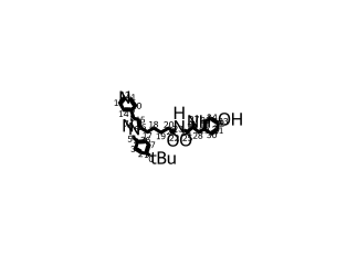 CC(C)(C)c1ccc(Cn2nc(-c3ccncc3)cc2CCCCC(=O)NC(=O)C(N)Cc2ccc(O)cc2)cc1